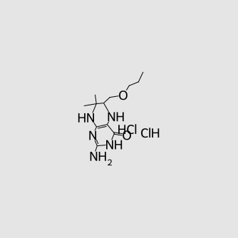 CCCOCC1Nc2c(nc(N)[nH]c2=O)NC1(C)C.Cl.Cl